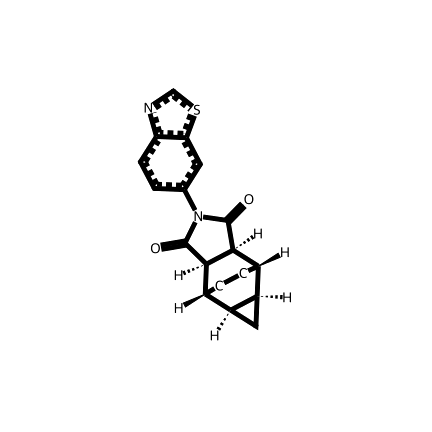 O=C1[C@@H]2[C@@H]3CC[C@@H]([C@H]4C[C@H]43)[C@@H]2C(=O)N1c1ccc2ncsc2c1